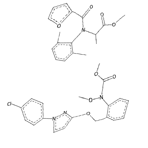 COC(=O)C(C)N(C(=O)c1ccco1)c1c(C)cccc1C.COC(=O)N(OC)c1ccccc1COc1ccn(-c2ccc(Cl)cc2)n1